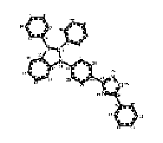 c1ccc(B2N(c3ccccc3)c3ccccc3N2c2ccc(-c3noc(-c4ccccc4)n3)cc2)cc1